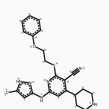 Cc1cc(Nc2cc(C3CCNCC3)c(C#N)c(SCCOc3ccccc3)n2)n[nH]1